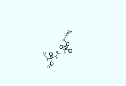 C#CCOS(=O)(=O)CCCP(=O)(CC)OC